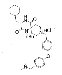 CCCCN1C(=O)[C@H](CC2CCCCC2)NC(=O)C12CCN(Cc1ccc(Oc3ccc(CN(C)C)cc3)cc1)CC2.Cl